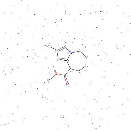 CCCc1cc2n(c1)CCCCC2C(=O)OC(C)C